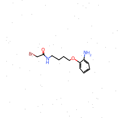 Nc1ccccc1OCCCCNC(=O)CBr